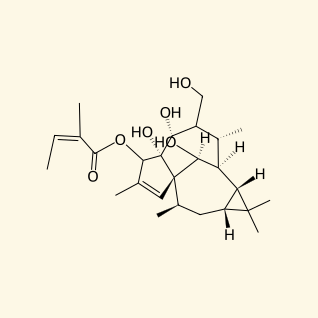 C/C=C(/C)C(=O)OC1C(C)=C[C@@]23[C@H](C)C[C@@H]4[C@H]([C@H]([C@@H](C)C(CO)[C@@H](O)[C@]12O)[C@@H]3O)C4(C)C